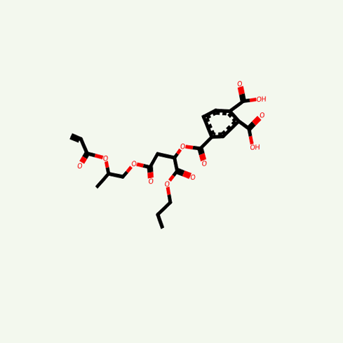 C=CC(=O)OC(C)COC(=O)CC(OC(=O)c1ccc(C(=O)O)c(C(=O)O)c1)C(=O)OCCC